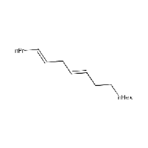 CCCC=CCC=CCCCCCCCC